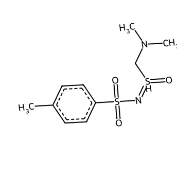 Cc1ccc(S(=O)(=O)/N=[SH](=O)\CN(C)C)cc1